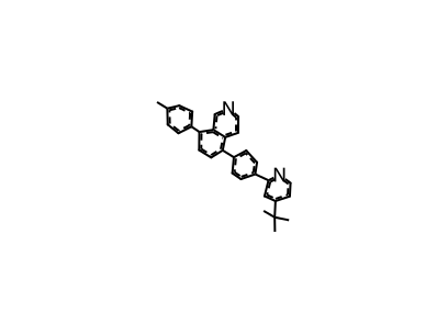 Cc1ccc(-c2ccc(-c3ccc(-c4cc(C(C)(C)C)ccn4)cc3)c3ccncc23)cc1